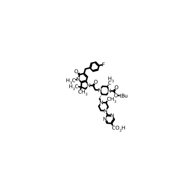 CC1CN(c2ncc(C(=O)O)cn2)CCN1C[C@H]1CN(C(=O)OC(C)(C)C)[C@H](C)CN1CC(=O)N1CC(C)(C)c2c1cc(Cc1ccc(F)cc1)c(=O)n2C